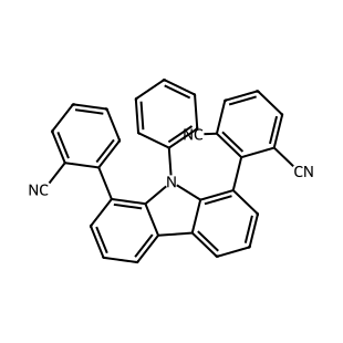 N#Cc1ccccc1-c1cccc2c3cccc(-c4c(C#N)cccc4C#N)c3n(-c3ccccc3)c12